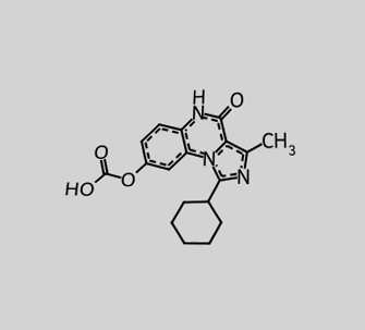 Cc1nc(C2CCCCC2)n2c1c(=O)[nH]c1ccc(OC(=O)O)cc12